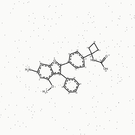 COc1nc(N)nc2oc(-c3ccc(C4(NC(=O)O)CCC4)cc3)c(-c3ccccc3)c12